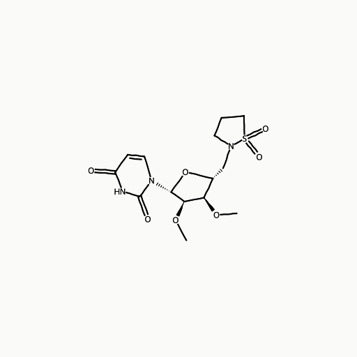 CO[C@@H]1[C@H](OC)[C@@H](CN2CCCS2(=O)=O)O[C@H]1n1ccc(=O)[nH]c1=O